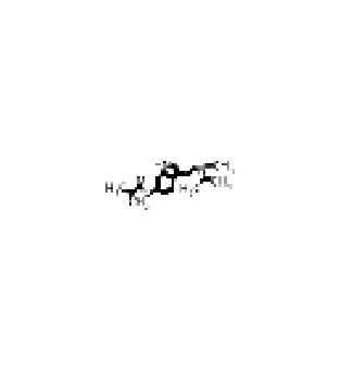 CCN(CCc1c[nH]c2cc(OC(=O)C(C)C)ccc12)C(C)C